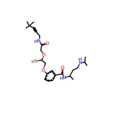 CC(C)NCCC(C)NC(=O)c1cccc(OCC(S)OCC(=O)NCC#CC(C)(C)C)c1